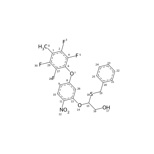 Cc1c(F)c(F)c(Oc2ccc([N+](=O)[O-])c(OC(CO)SCc3ccccc3)c2)c(F)c1F